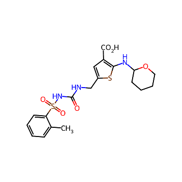 Cc1ccccc1S(=O)(=O)NC(=O)NCc1cc(C(=O)O)c(NC2CCCCO2)s1